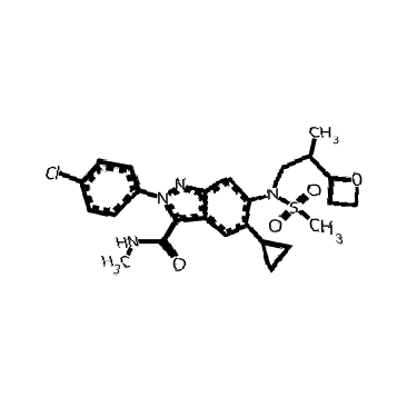 CNC(=O)c1c2cc(C3CC3)c(N(CC(C)C3CCO3)S(C)(=O)=O)cc2nn1-c1ccc(Cl)cc1